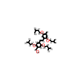 Cc1cc(OCCC(C)C)c(/C=C/c2cc(OCCC(C)C)c(C=O)cc2OCCC(C)C)cc1OCCC(C)C